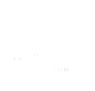 CCCOCC(=O)O.c1ccc(-c2ccccc2)cc1